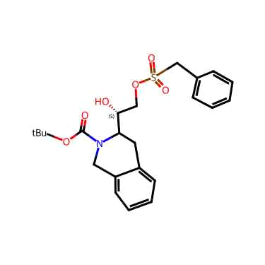 CC(C)(C)OC(=O)N1Cc2ccccc2CC1[C@H](O)COS(=O)(=O)Cc1ccccc1